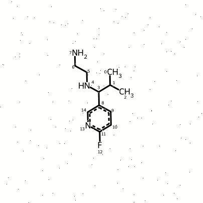 CC(C)C(NCCN)c1ccc(F)nc1